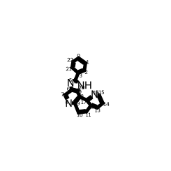 c1ccc(-c2nc3cnc4ccc5cccnc5c4c3[nH]2)cc1